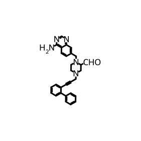 Nc1ncnc2cc(CN3CCN(CC#Cc4ccccc4-c4ccccc4)CC3C=O)ccc12